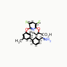 Cc1cc(Oc2nc(OC(CC(C)C)C(=O)O)c(F)cc2F)cc(-c2cccc(CN)c2)c1